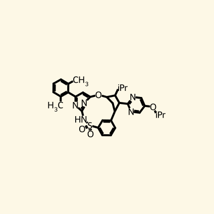 Cc1cccc(C)c1-c1cc2nc(n1)NS(=O)(=O)c1cccc(c1)C1CC(O2)C(C(C)C)C1c1ncc(OC(C)C)cn1